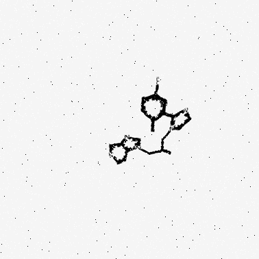 Cc1ccc(F)cc1-c1nccn1CC(C)Cn1cnc2cnccc21